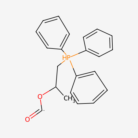 CC(C[PH](c1ccccc1)(c1ccccc1)c1ccccc1)O[C]=O